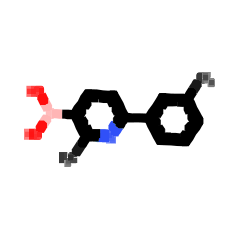 OB(O)c1ccc(-c2cccc(C(F)(F)F)c2)nc1C(F)(F)F